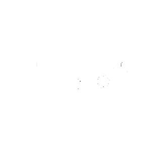 CCCCCCCN(CCc1cccc(OC(C)(CC)C(=O)O)c1)C(=O)CC1CCCCC1